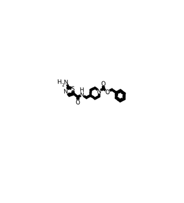 Nc1ncc(C(=O)NCC2CCN(C(=O)OCc3ccccc3)CC2)s1